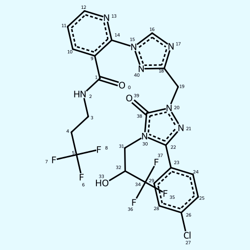 O=C(NCCC(F)(F)F)c1cccnc1-n1cnc(Cn2nc(-c3ccc(Cl)cc3)n(CC(O)C(F)(F)F)c2=O)n1